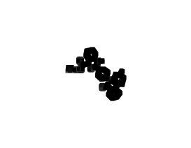 COC(=O)Cc1ccccc1N(C)C(=O)c1ccc(NC(=O)c2ccccc2-c2ccc(C)cc2)cc1